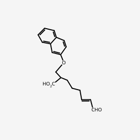 O=CC=CCCCC(COc1ccc2ccccc2c1)C(=O)O